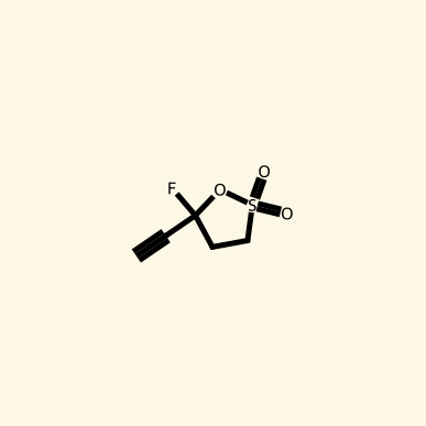 C#CC1(F)CCS(=O)(=O)O1